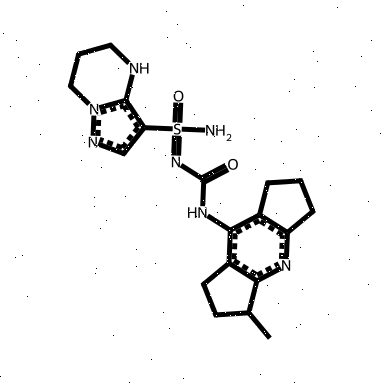 CC1CCc2c1nc1c(c2NC(=O)N=S(N)(=O)c2cnn3c2NCCC3)CCC1